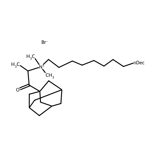 CCCCCCCCCCCCCCCCCC[N+](C)(C)C(C)C(=O)C12CC3CC(CC(C3)C1)C2.[Br-]